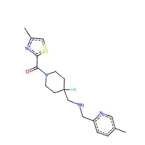 Cc1ccc(CNCC2(F)CCN(C(=O)c3nc(C)cs3)CC2)nc1